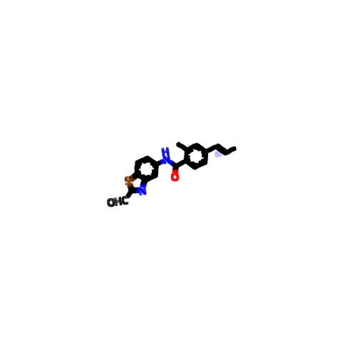 C/C=C/c1ccc(C(=O)Nc2ccc3sc(C=O)nc3c2)c(C)c1